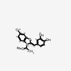 COC(C)N1/C(=C/c2ccc(O)c(O)c2)Oc2cc(Cl)ccc21